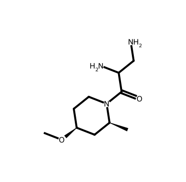 CO[C@H]1CCN(C(=O)C(N)CN)[C@@H](C)C1